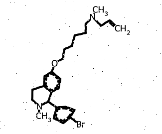 C=CCN(C)CCCCCCOc1ccc2c(c1)CCN(C)C2c1ccc(Br)cc1